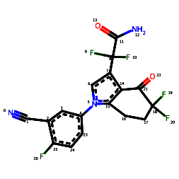 N#Cc1cc(-n2cc(C(F)(F)C(N)=O)c3c2CCC(F)(F)C3=O)ccc1F